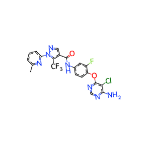 Cc1cccc(-n2ncc(C(=O)Nc3ccc(Oc4ncnc(N)c4Cl)c(F)c3)c2C(F)(F)F)n1